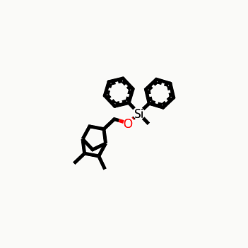 CC1C2CC(CO[Si](C)(c3ccccc3)c3ccccc3)C(C2)C1C